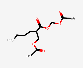 CCCC(=O)OCOC(=O)C(CCCC(=O)O)COC(=O)CCC